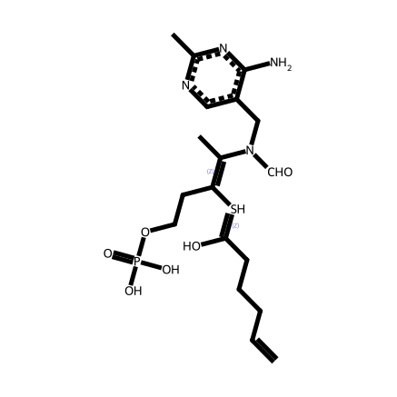 C=CCCC/C(O)=[SH]/C(CCOP(=O)(O)O)=C(/C)N(C=O)Cc1cnc(C)nc1N